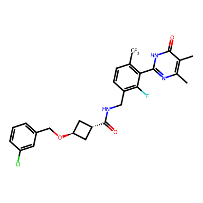 Cc1nc(-c2c(C(F)(F)F)ccc(CNC(=O)[C@H]3C[C@H](OCc4cccc(Cl)c4)C3)c2F)[nH]c(=O)c1C